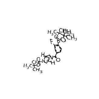 CC(C)(C)OC(=O)N1C[C@@H]2C[C@H]1CN2C(=O)c1ccc(B2OC(C)(C)C(C)(C)O2)c(F)c1